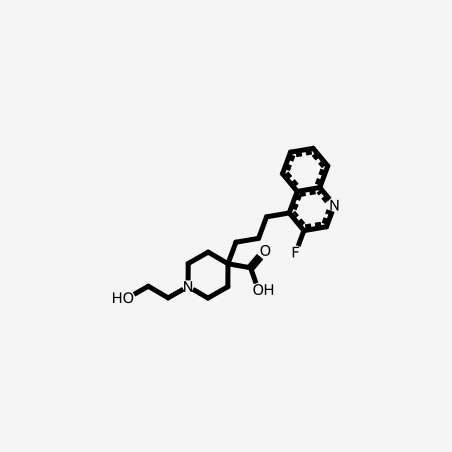 O=C(O)C1(CCCc2c(F)cnc3ccccc23)CCN(CCO)CC1